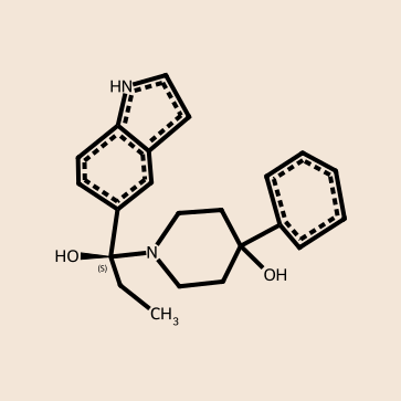 CC[C@](O)(c1ccc2[nH]ccc2c1)N1CCC(O)(c2ccccc2)CC1